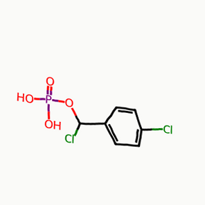 O=P(O)(O)OC(Cl)c1ccc(Cl)cc1